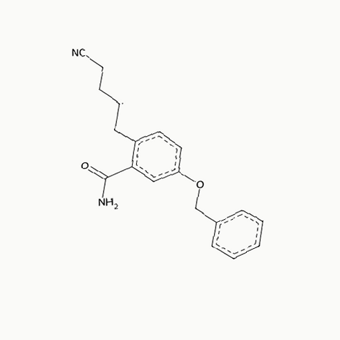 N#CCC[CH]Cc1ccc(OCc2ccccc2)cc1C(N)=O